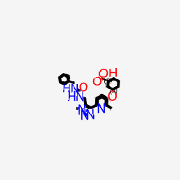 Cc1nc(-c2nnn(C)c2CNC(=O)NCc2ccccc2)ccc1O[C@H]1CCC[C@H](C(=O)O)C1